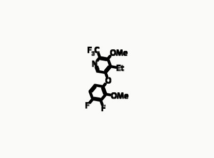 CCc1c(Oc2ccc(F)c(F)c2OC)cnc(C(F)(F)F)c1OC